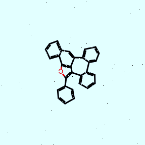 c1ccc(-c2oc3c4c(cc5ccccc53)-c3ccccc3-c3ccccc3-c24)cc1